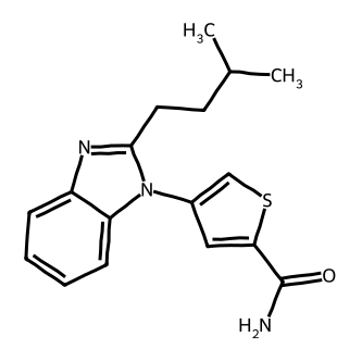 CC(C)CCc1nc2ccccc2n1-c1csc(C(N)=O)c1